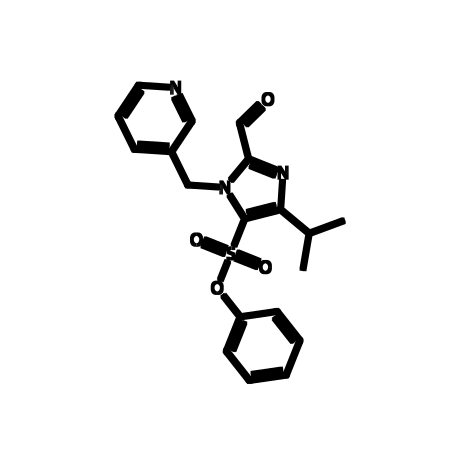 CC(C)c1nc(C=O)n(Cc2cccnc2)c1S(=O)(=O)Oc1ccccc1